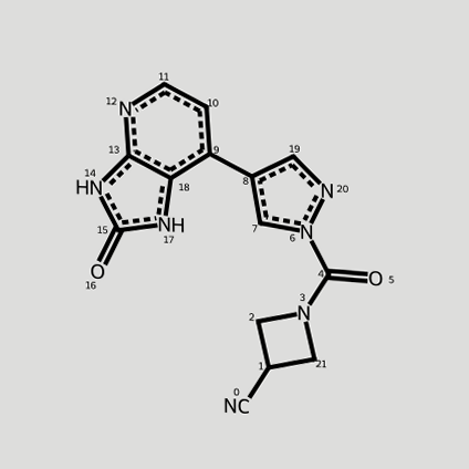 N#CC1CN(C(=O)n2cc(-c3ccnc4[nH]c(=O)[nH]c34)cn2)C1